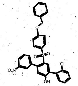 O=[N+]([O-])c1cccc(-c2cc(O)c(-c3ccccc3Cl)cc2S(=O)(=O)c2ccc(OCc3ccccc3)cc2)c1